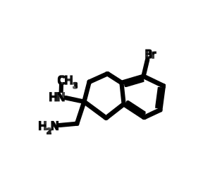 CNC1(CN)CCc2c(Br)cccc2C1